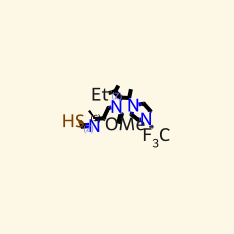 C=CN(CC(OC)[C@H](C)/N=C\S)/C(=C(/C)CC)C(C)N1CCN(CC(F)(F)F)CC1